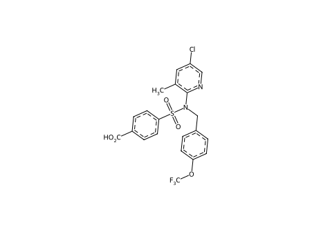 Cc1cc(Cl)cnc1N(Cc1ccc(OC(F)(F)F)cc1)S(=O)(=O)c1ccc(C(=O)O)cc1